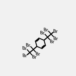 BrC(Br)(Br)C(Br)(Br)C1C=CC(C(Br)(Br)C(Br)(Br)Br)C=C1